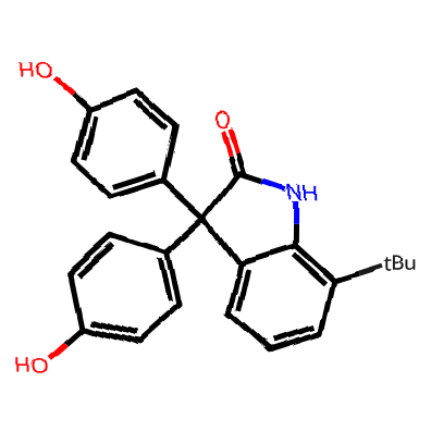 CC(C)(C)c1cccc2c1NC(=O)C2(c1ccc(O)cc1)c1ccc(O)cc1